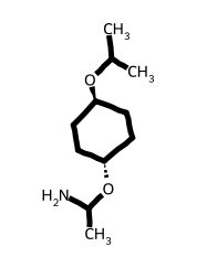 CC(C)O[C@H]1CC[C@H](OC(C)N)CC1